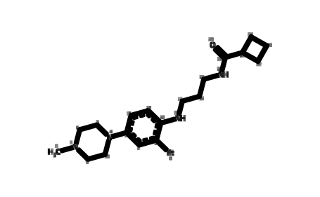 CCc1cc(N2CCN(C)CC2)ccc1NCCCNC(=O)C1CCC1